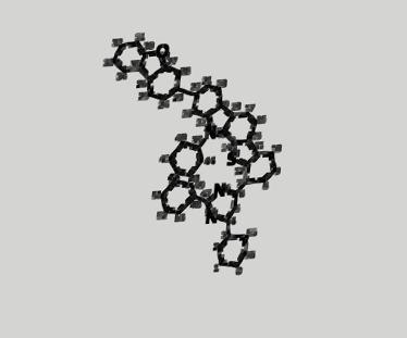 c1ccc(-c2cc(-c3cccc4c3sc3c4ccc4c5ccc(-c6ccc7c(c6)oc6ccccc67)cc5n(-c5ccccc5)c43)nc(-c3ccccc3)n2)cc1